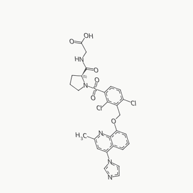 Cc1cc(-n2ccnc2)c2cccc(OCc3c(Cl)ccc(S(=O)(=O)N4CCC[C@H]4C(=O)NCC(=O)O)c3Cl)c2n1